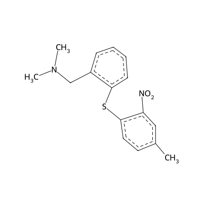 Cc1ccc(Sc2ccccc2CN(C)C)c([N+](=O)[O-])c1